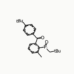 Cc1cccc(C(=O)c2ccc(C(C)(C)C)cc2)c1[P](=O)CC(C)(C)C